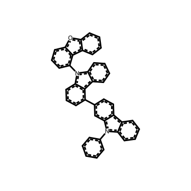 c1ccc(-n2c3ccccc3c3ccc(-c4cccc5c4c4ccccc4n5-c4cccc5oc6ccccc6c45)cc32)cc1